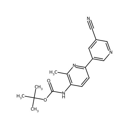 Cc1nc(-c2cncc(C#N)c2)ccc1NC(=O)OC(C)(C)C